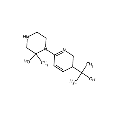 CC(C)(O)C1C=CC(N2CCNCC2(C)O)=NC1